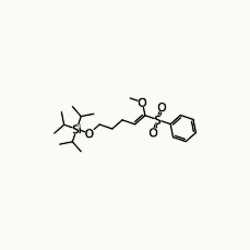 CO/C(=C\CCCO[Si](C(C)C)(C(C)C)C(C)C)S(=O)(=O)c1ccccc1